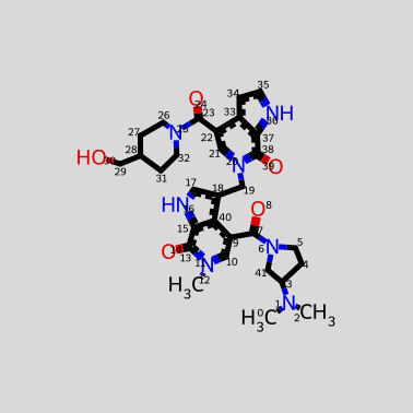 CN(C)C1CCN(C(=O)c2cn(C)c(=O)c3[nH]cc(Cn4cc(C(=O)N5CCC(CO)CC5)c5cc[nH]c5c4=O)c23)C1